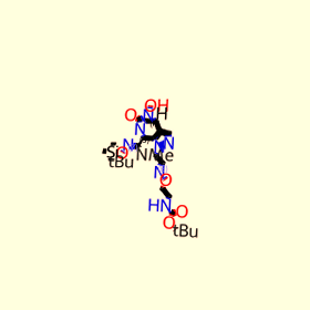 CN/C(=N\O[Si](C)(C)C(C)(C)C)[C@@H]1c2c(cnn2C/C=N/OCCNC(=O)OC(C)(C)C)[C@@H]2CN1C(=O)N2O